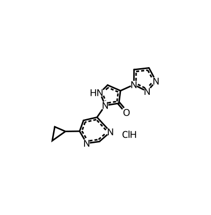 Cl.O=c1c(-n2ccnn2)c[nH]n1-c1cc(C2CC2)ncn1